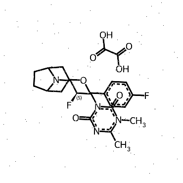 Cc1nc(=O)n(C[C@@H](F)CN2C3CCC2CC(OCc2ccc(F)cc2)C3)c(=O)n1C.O=C(O)C(=O)O